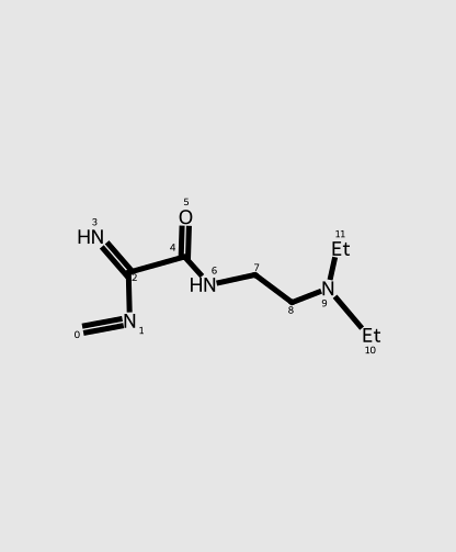 C=NC(=N)C(=O)NCCN(CC)CC